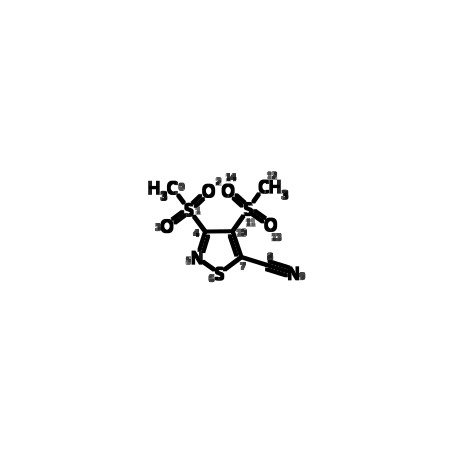 CS(=O)(=O)c1nsc(C#N)c1S(C)(=O)=O